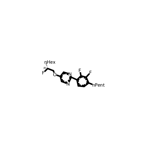 CCCCCC[C@@H](F)COc1cnc(-c2ccc(CCCCC)c(F)c2F)nc1